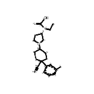 CCN(C(=O)O)[C@H]1CCN(C2CCC(C#N)(c3cccc(C)c3)CC2)C1